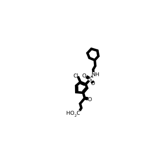 O=C(O)CCC(=O)c1ccc(Cl)c(S(=O)(=O)NCCC2CCCCC2)c1